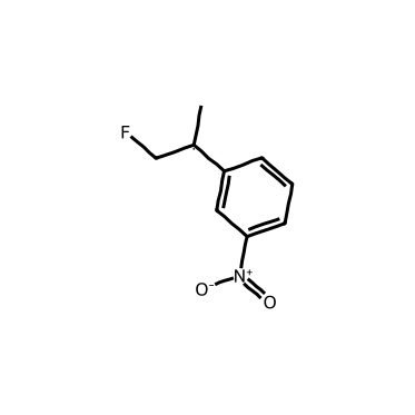 C[C](CF)c1cccc([N+](=O)[O-])c1